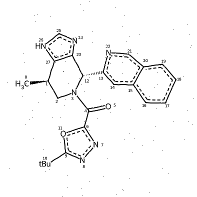 C[C@@H]1CN(C(=O)c2nnc(C(C)(C)C)o2)[C@@H](c2cc3ccccc3cn2)c2nc[nH]c21